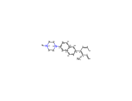 C=C/C(C#N)=C(\C=C/C)c1ccc2cc(N3CCN(C)CC3)ccc2c1